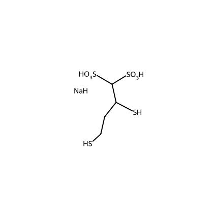 O=S(=O)(O)C(C(S)CCS)S(=O)(=O)O.[NaH]